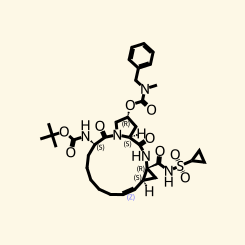 CN(Cc1ccccc1)C(=O)O[C@@H]1C[C@H]2C(=O)N[C@]3(C(=O)NS(=O)(=O)C4CC4)C[C@H]3/C=C\CCCCC[C@H](NC(=O)OC(C)(C)C)C(=O)N2C1